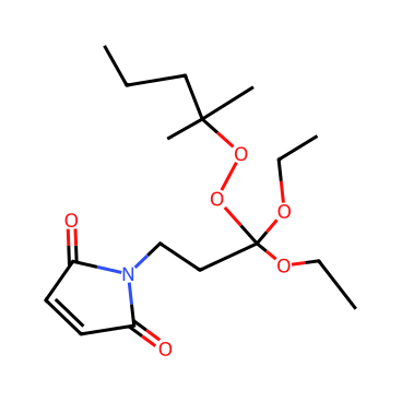 CCCC(C)(C)OOC(CCN1C(=O)C=CC1=O)(OCC)OCC